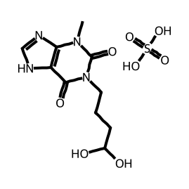 Cn1c(=O)n(CCCC(O)O)c(=O)c2[nH]cnc21.O=S(=O)(O)O